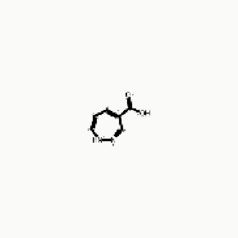 O=C(O)C1=CC=CNN=C1